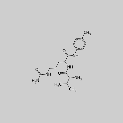 Cc1ccc(NC(=O)C(CCCNC(N)=O)NC(=O)C(N)C(C)C)cc1